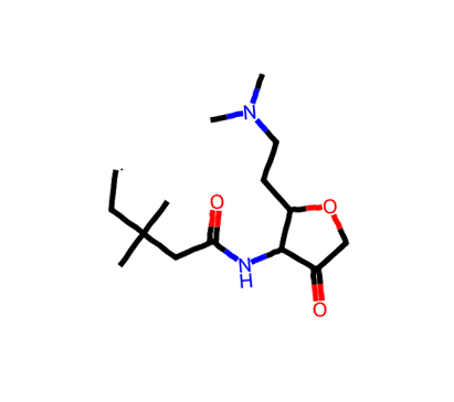 [CH2]CC(C)(C)CC(=O)NC1C(=O)COC1CCN(C)C